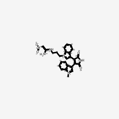 Cn1cc(C2=C(c3cn(CCCNC(N)=C[N+](=O)[O-])c4ccccc34)C(=O)NC2=O)c2ccccc21